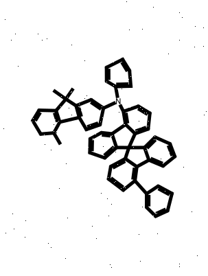 CC1CC=CC2=C1c1ccc(N(c3ccccc3)c3cccc4c3-c3ccccc3C43c4ccccc4-c4c(-c5ccccc5)cccc43)cc1C2(C)C